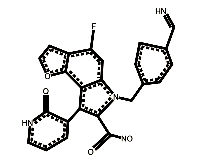 N=Cc1ccc(Cn2c(C(=O)N=O)c(-c3ccc[nH]c3=O)c3c4occc4c(F)cc32)cc1